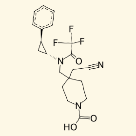 N#CCC1(CN(C(=O)C(F)(F)F)[C@@H]2C[C@H]2c2ccccc2)CCN(C(=O)O)CC1